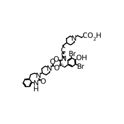 O=C(O)CCN1CCC(C=C=C=NC(=O)[C@@H](Cc2cc(Br)c(O)c(Br)c2)OC(=O)N2CCC(N3CCc4ccccc4NC3=O)CC2)CC1